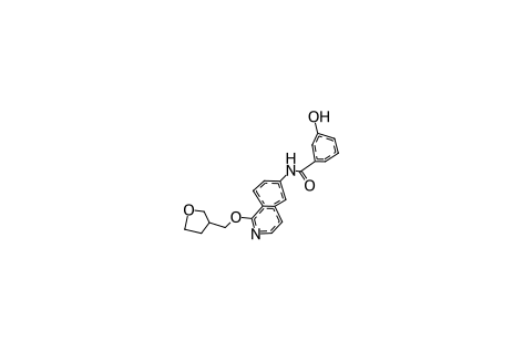 O=C(Nc1ccc2c(OCC3CCOC3)nccc2c1)c1cccc(O)c1